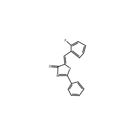 O=C1N=C(c2ccccc2)S/C1=C\c1ccccc1F